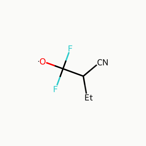 CCC(C#N)C([O])(F)F